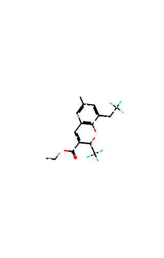 CCOC(=O)C1=Cc2cc(C)cc(CC(F)(F)F)c2OC1C(F)(F)F